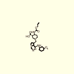 C=CCOC(=O)NC1CCN(Cc2ccn3cnnc(Nc4cccc(OC)c4)c23)C[C@H]1C(=O)O